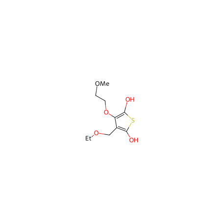 CCOCc1c(O)sc(O)c1OCCOC